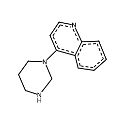 c1ccc2c(N3CCCNC3)ccnc2c1